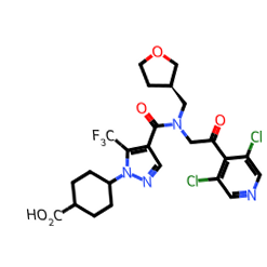 O=C(CN(C[C@H]1CCOC1)C(=O)c1cnn(C2CCC(C(=O)O)CC2)c1C(F)(F)F)c1c(Cl)cncc1Cl